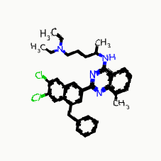 CCN(CC)CCCC(C)Nc1nc(-c2cc(Cc3ccccc3)c3cc(Cl)c(Cl)cc3c2)nc2c(C)cccc12